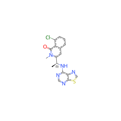 C[C@H](Nc1ncnc2scnc12)c1cc2cccc(Cl)c2c(=O)n1C